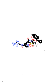 CC1(C)[C@H](C(=O)OC(c2ccccc2)c2ccccc2)N2C(=O)/C(=C/c3cc(C(=O)NCCNC(=N)N)ccn3)C2S1(=O)=O